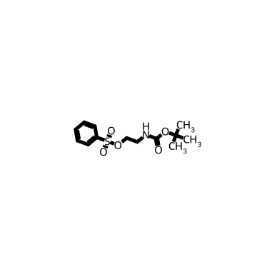 CC(C)(C)OC(=O)NCCOS(=O)(=O)c1ccccc1